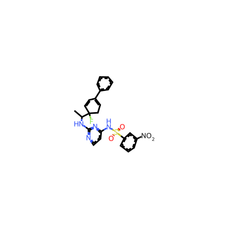 CC(Nc1nccc(NS(=O)(=O)c2cccc([N+](=O)[O-])c2)n1)C1(F)C=CC(c2ccccc2)=CC1